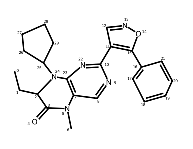 CCC1C(=O)N(C)c2cnc(-c3cnoc3-c3ccccc3)nc2N1C1CCCC1